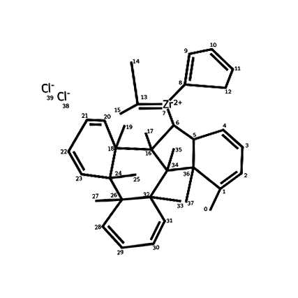 CC1=CC=CC2[CH]([Zr+2]([C]3=CC=CC3)=[C](C)C)C3(C)C4(C)C=CC=CC4(C)C4(C)C=CC=CC4(C)C3(C)C12C.[Cl-].[Cl-]